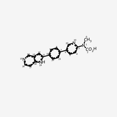 CN(C(=O)O)c1ccc(-c2ccc(-c3cc4cnccc4[nH]3)cc2)cn1